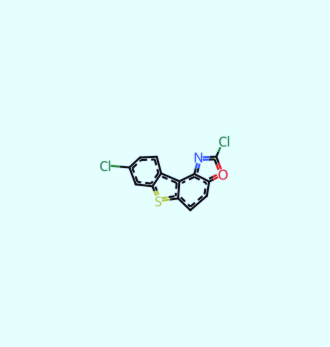 Clc1ccc2c(c1)sc1ccc3oc(Cl)nc3c12